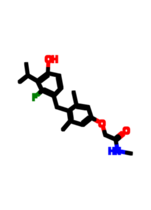 CNC(=O)COc1cc(C)c(Cc2ccc(O)c(C(C)C)c2F)c(C)c1